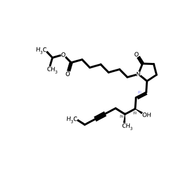 CCC#CC[C@H](C)[C@H](O)/C=C/C1CCC(=O)N1CCCCCCC(=O)OC(C)C